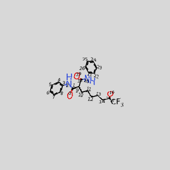 O=C(Nc1ccccc1)C(CCCCCC(=O)C(F)(F)F)C(=O)Nc1ccccc1